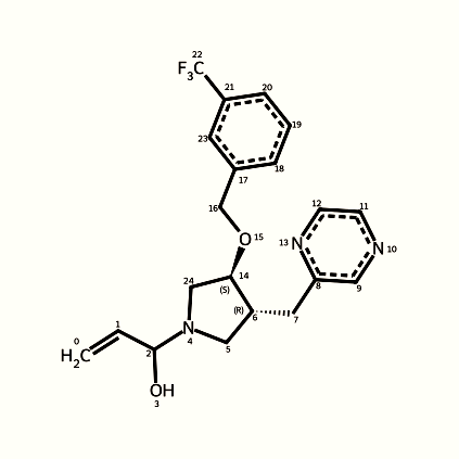 C=CC(O)N1C[C@@H](Cc2cnccn2)[C@H](OCc2cccc(C(F)(F)F)c2)C1